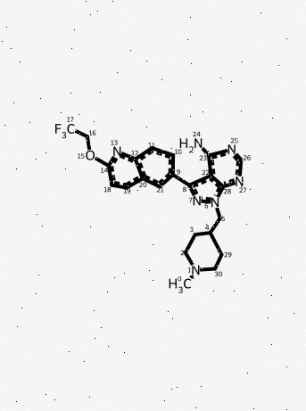 CN1CCC(Cn2nc(-c3ccc4nc(OCC(F)(F)F)ccc4c3)c3c(N)ncnc32)CC1